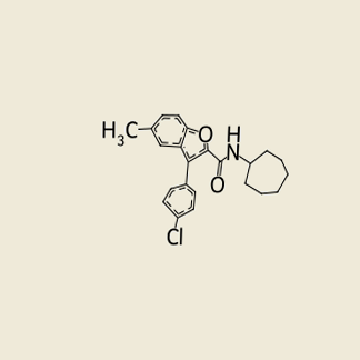 Cc1ccc2oc(C(=O)NC3CCCCCC3)c(-c3ccc(Cl)cc3)c2c1